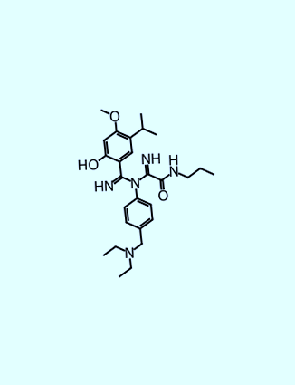 CCCNC(=O)C(=N)N(C(=N)c1cc(C(C)C)c(OC)cc1O)c1ccc(CN(CC)CC)cc1